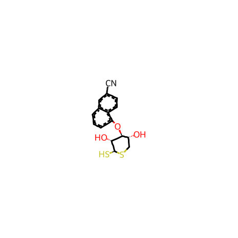 N#Cc1ccc2c(O[C@@H]3[C@@H](O)[C@H](S)SC[C@H]3O)cccc2c1